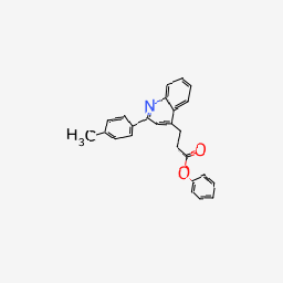 Cc1ccc(-c2cc(CCC(=O)Oc3ccccc3)c3ccccc3n2)cc1